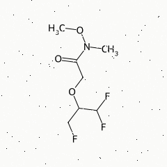 CON(C)C(=O)COC(CF)C(F)F